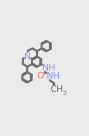 C=CCNC(=O)Nc1cc2c3c(c1)C(c1ccccc1)CCN3CCC2c1ccccc1